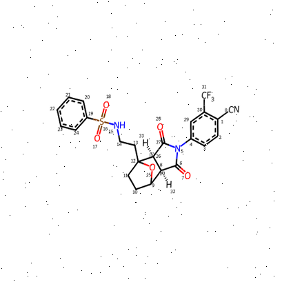 N#Cc1ccc(N2C(=O)[C@H]3C4CCC(CCNS(=O)(=O)c5ccccc5)(O4)[C@H]3C2=O)cc1C(F)(F)F